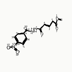 COC(=O)CCCC(=O)NNC(=O)c1ccc([N+](=O)[O-])cc1